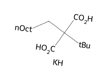 CCCCCCCCCC(C(=O)O)(C(=O)O)C(C)(C)C.[KH]